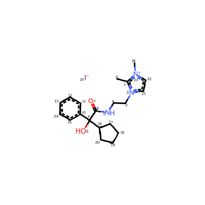 Cc1n(CCNC(=O)C(O)(c2ccccc2)C2CCCC2)cc[n+]1C.[I-]